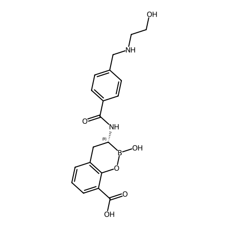 O=C(N[C@H]1Cc2cccc(C(=O)O)c2OB1O)c1ccc(CNCCO)cc1